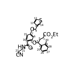 CCOC(=O)CCC(Oc1cc(OCc2ccsc2)ccc1C(=O)NCCC#N)c1ccccc1C